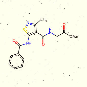 COC(=O)CNC(=O)c1c(C)nsc1NC(=O)c1ccccc1